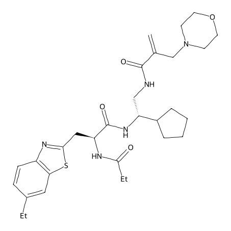 C=C(CN1CCOCC1)C(=O)NC[C@@H](NC(=O)[C@H](Cc1nc2ccc(CC)cc2s1)NC(=O)CC)C1CCCC1